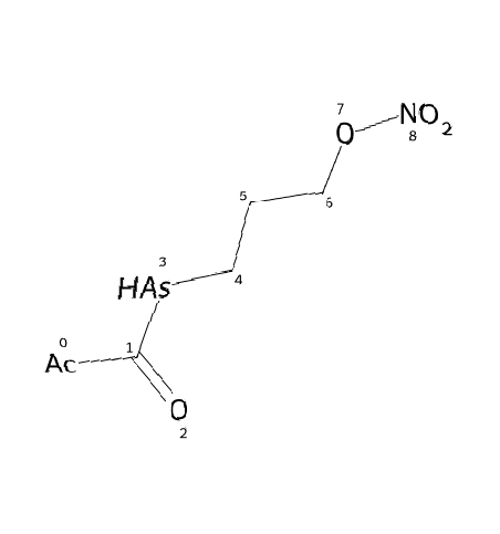 CC(=O)C(=O)[AsH]CCCO[N+](=O)[O-]